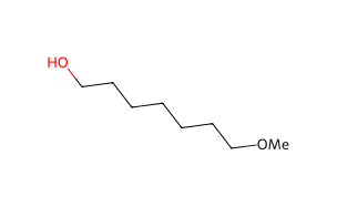 COCCCCCCCO